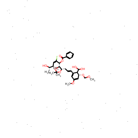 COCO[C@@H]1C=C(OC)C=C(/C=C/C[C@@H]2OC(C)(C)O[C@@H]2C(OC(=O)c2ccccc2)/C(F)=C\[C@H](C)[C@H](C)O)C1C(O)O